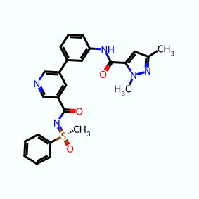 Cc1cc(C(=O)Nc2cccc(-c3cncc(C(=O)N=[S@@](C)(=O)c4ccccc4)c3)c2)n(C)n1